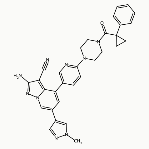 Cn1cc(-c2cc(-c3ccc(N4CCN(C(=O)C5(c6ccccc6)CC5)CC4)nc3)c3c(C#N)c(N)nn3c2)cn1